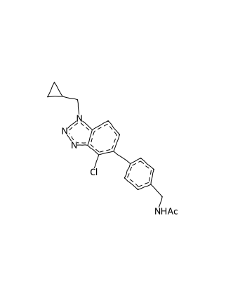 CC(=O)NCc1ccc(-c2ccc3c(nnn3CC3CC3)c2Cl)cc1